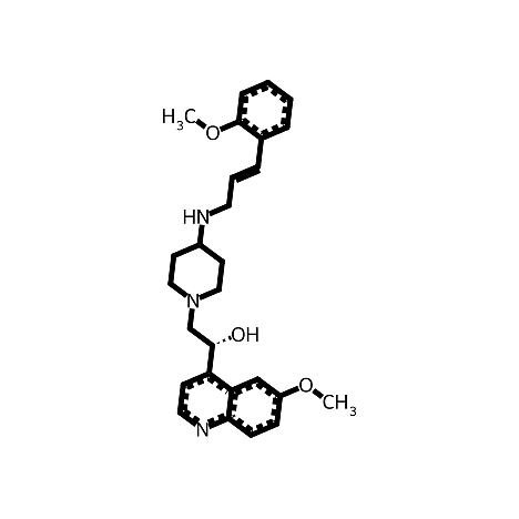 COc1ccc2nccc([C@@H](O)CN3CCC(NC/C=C/c4ccccc4OC)CC3)c2c1